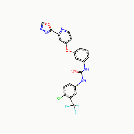 O=C(Nc1cccc(Oc2ccnc(-c3nnco3)c2)c1)Nc1ccc(Cl)c(C(F)(F)F)c1